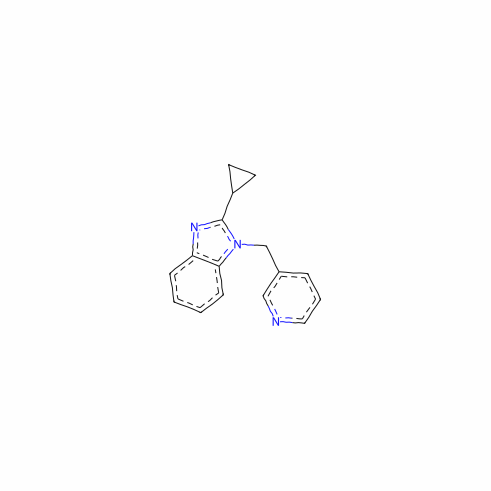 c1cncc(Cn2c(C3CC3)nc3ccccc32)c1